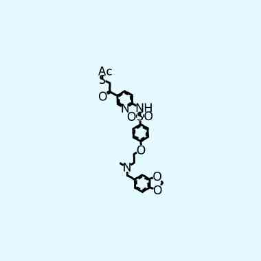 CC(=O)SCC(=O)c1ccc(NS(=O)(=O)c2ccc(OCCN(C)Cc3ccc4c(c3)OCO4)cc2)nc1